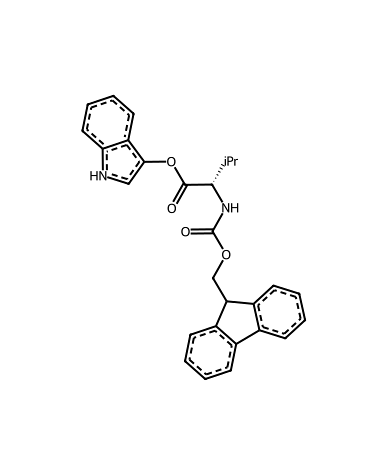 CC(C)[C@H](NC(=O)OCC1c2ccccc2-c2ccccc21)C(=O)Oc1c[nH]c2ccccc12